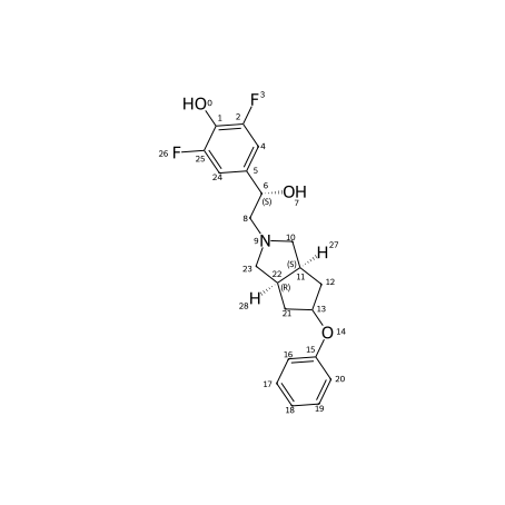 Oc1c(F)cc([C@H](O)CN2C[C@H]3CC(Oc4ccccc4)C[C@H]3C2)cc1F